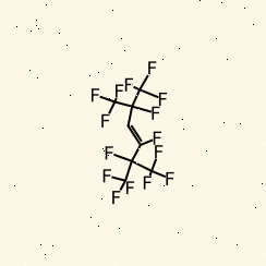 F/C(=C\C(F)(C(F)(F)F)C(F)(F)F)C(F)(C(F)(F)F)C(F)(F)F